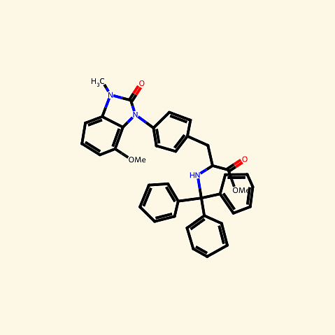 COC(=O)C(Cc1ccc(-n2c(=O)n(C)c3cccc(OC)c32)cc1)NC(c1ccccc1)(c1ccccc1)c1ccccc1